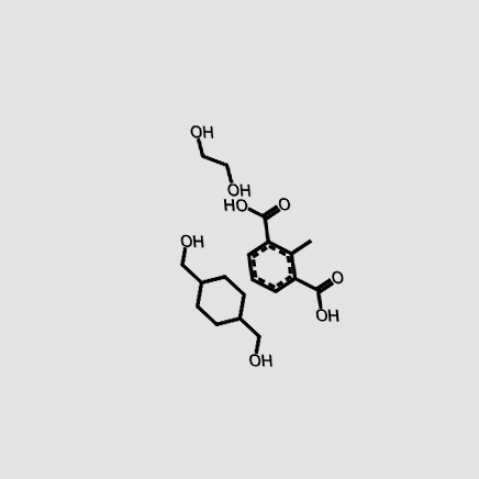 Cc1c(C(=O)O)cccc1C(=O)O.OCC1CCC(CO)CC1.OCCO